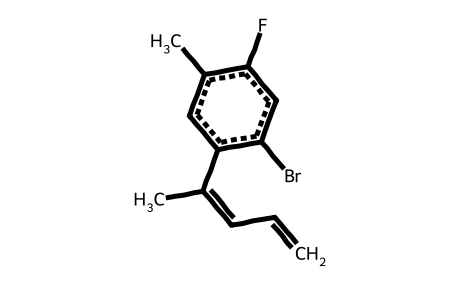 C=C/C=C(/C)c1cc(C)c(F)cc1Br